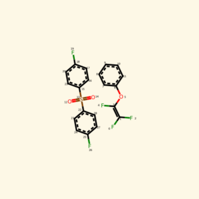 FC(F)=C(F)Oc1ccccc1.O=S(=O)(c1ccc(F)cc1)c1ccc(F)cc1